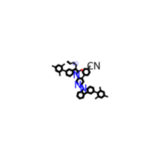 C=C/C=C\c1c(C)n(-c2cnc(-n3c4ccccc4c4cc(-c5c(C)cc(C)cc5C)ccc43)cc2-c2ccc(C#N)cc2)c2ccc(-c3c(C)cc(C)cc3C)cc12